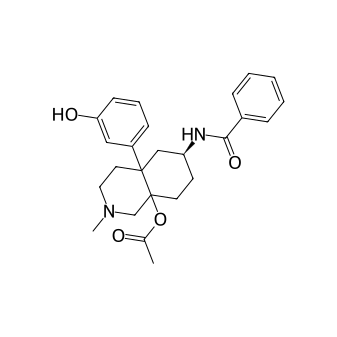 CC(=O)OC12CC[C@H](NC(=O)c3ccccc3)CC1(c1cccc(O)c1)CCN(C)C2